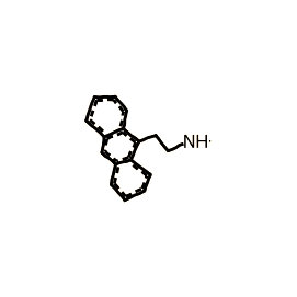 [NH]CCc1c2ccccc2cc2ccccc12